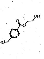 O=C(OCCO)c1ccc(CO)cc1